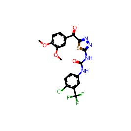 COc1ccc(C(=O)c2nnc(NC(=O)Nc3ccc(Cl)c(C(F)(F)F)c3)s2)cc1OC